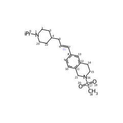 CC(C)N1CCC(C/C=C/c2ccc3c(c2)CCN(S(C)(=O)=O)C3)CC1